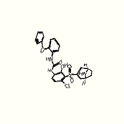 O=C(Nc1ccccc1Oc1ccccc1)Nc1ccc(Cl)c(S(=O)(=O)C2C[C@H]3CC[C@@H](C2)N3)c1O